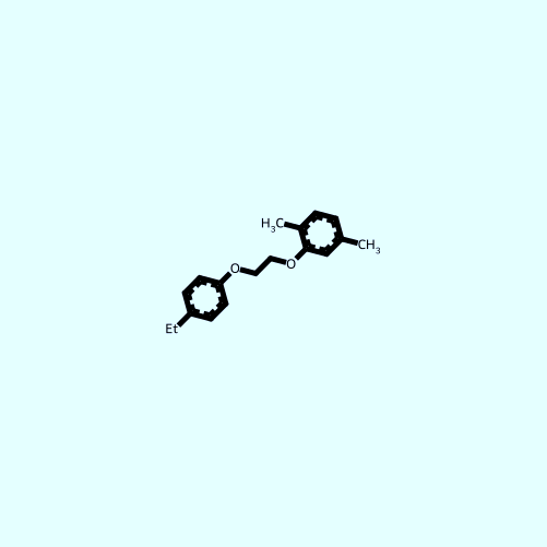 CCc1ccc(OCCOc2cc(C)ccc2C)cc1